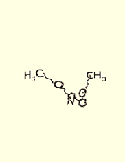 CCCCCCOc1ccccc1-c1ccc(CCCOCCCCC)cn1